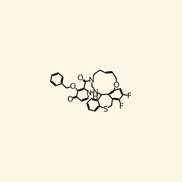 O=C1c2c(OCc3ccccc3)c(=O)ccn2N2CN1CC/C=C/COc1cc(F)c(F)c3c1[C@H]2c1ccccc1SC3